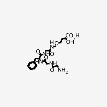 NCC(=O)NCC(=O)N[C@@H](Cc1ccccc1)C(=O)NCC(=O)NCOCC[C@@H](O)C(=O)O